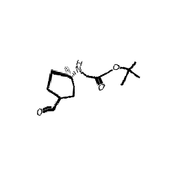 CC(C)(C)OC(=O)N[C@H]1CCC(C=O)C1